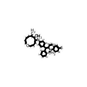 C=C1/C=C\C=C/O/C=C\C=C(\Nc2ccc(/C(=C(\C=C/C)N(C)C3=CC=C(F)CC3)c3ccccc3)cc2)C1=C